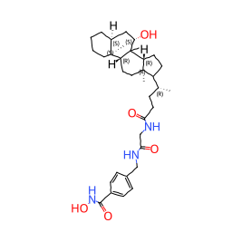 C[C@H](CCC(=O)NCC(=O)NCc1ccc(C(=O)NO)cc1)C1CC[C@H]2C3(C)[C@@H](O)C[C@@H]4CCCC[C@]4(C)[C@H]3CC[C@]12C